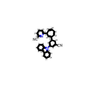 N#CC1=CC(n2c3ccccc3c3ccccc32)=CC(C2=CC(c3cccc(C#N)n3)C#CC=C2)C1